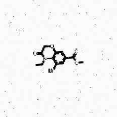 CCN1C(=O)COc2cc(C(=O)OC)cc(Br)c21